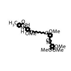 COc1cc(C2NC(=O)c3cc(C)ccc3N2)ccc1OCCCCCCCCOc1cc(C2CC(c3cc(OC)c(OC)c(OC)c3)=NO2)ccc1OC